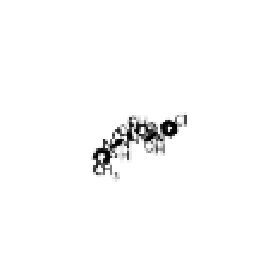 CN1CCc2nc(C(=O)N[C@@H](CNC(=O)C(=O)Nc3ccc(Cl)cc3)C(=O)N(C)C)sc2C1